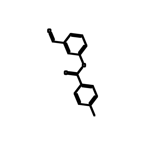 Cc1ccc(C(=O)Oc2cccc(C=O)c2)cc1